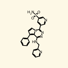 NS(=O)(=O)c1cncc(-c2nnc(NCc3ccccn3)c3c(-c4ccccc4)ccn23)c1